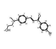 CN(CCO)c1ccc(C=CC(=O)c2ccc(Br)cc2)cc1